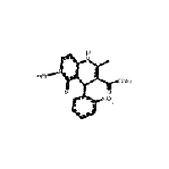 CCCn1ccc2c(c1=O)C(c1ccccc1[N+](=O)[O-])C(C(=O)OC)=C(C)N2